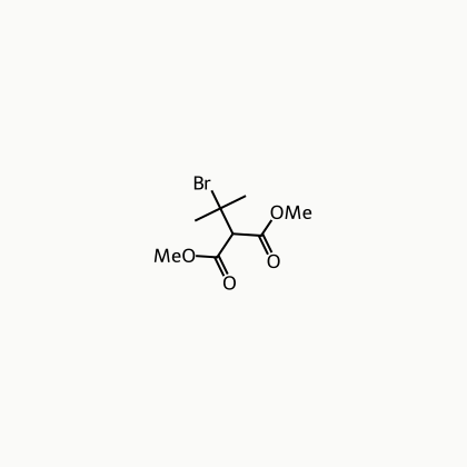 COC(=O)C(C(=O)OC)C(C)(C)Br